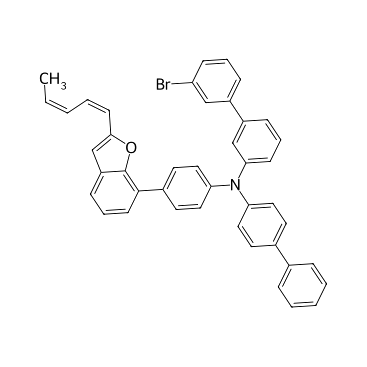 C/C=C\C=C/c1cc2cccc(-c3ccc(N(c4ccc(-c5ccccc5)cc4)c4cccc(-c5cccc(Br)c5)c4)cc3)c2o1